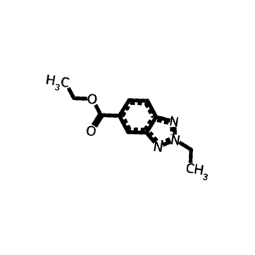 CCOC(=O)c1ccc2nn(CC)nc2c1